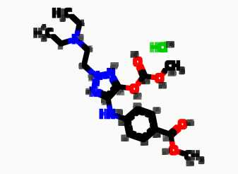 CCN(CC)CCn1nc(Nc2ccc(C(=O)OC)cc2)c(OC(=O)OC)n1.Cl